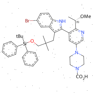 CO[C@@H](C)c1ncc(N2CCN(C(=O)O)CC2)cc1-c1[nH]c2ccc(Br)cc2c1CC(C)(C)CO[Si](c1ccccc1)(c1ccccc1)C(C)(C)C